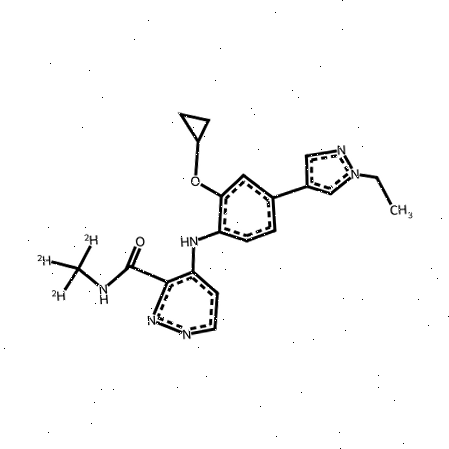 [2H]C([2H])([2H])NC(=O)c1nnccc1Nc1ccc(-c2cnn(CC)c2)cc1OC1CC1